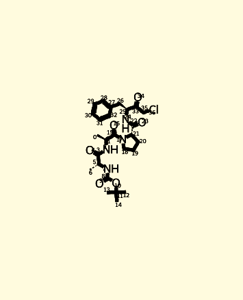 C[C@H](NC(=O)[C@@H](C)NC(=O)OC(C)(C)C)C(=O)N1CCC[C@H]1C(=O)N[C@@H](Cc1ccccc1)C(=O)CCl